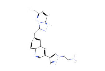 CCN(CC)CCn1cc(C2=CC3C=C(CC4NN=C5C=CC(C)=NN54)C=CC3N=C2)cn1